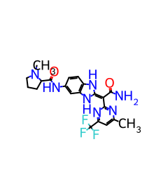 Cc1cc(C(F)(F)F)nc(C(C(N)=O)=C2Nc3ccc(NC(=O)C4CCCN4C)cc3N2)n1